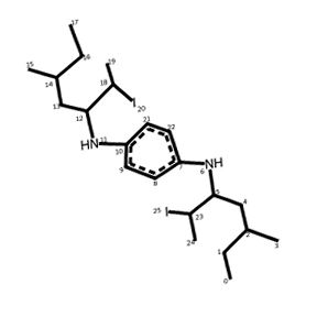 CCC(C)CC(Nc1ccc(NC(CC(C)CC)C(C)I)cc1)C(C)I